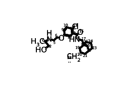 CC(CO)NCCOc1ccc(Cl)c(C(=O)NCC23CCCC(CCC2)C3)c1.[CH2]